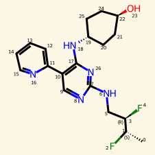 C[C@H](F)[C@H](F)CNc1ncc(-c2ccccn2)c(N[C@H]2CC[C@H](O)CC2)n1